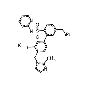 Cc1nccn1Cc1ccc(-c2cc(CC(C)C)ccc2S(=O)(=O)[N-]c2ncccn2)cc1F.[K+]